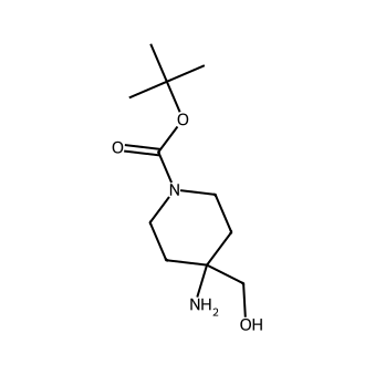 CC(C)(C)OC(=O)N1CCC(N)(CO)CC1